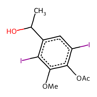 COc1c(I)c(C(C)O)cc(I)c1OC(C)=O